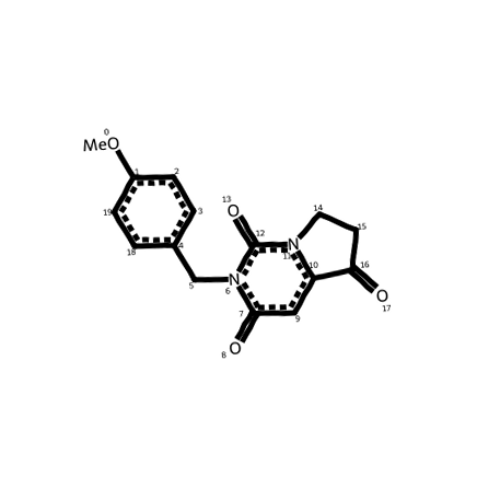 COc1ccc(Cn2c(=O)cc3n(c2=O)CCC3=O)cc1